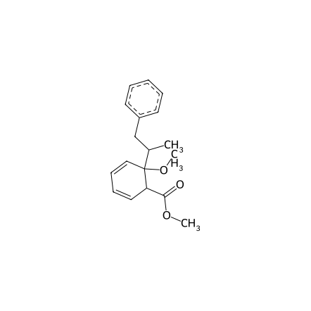 COC(=O)C1C=CC=CC1(OC)C(C)Cc1ccccc1